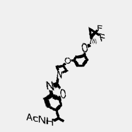 CC(=O)NC(C)c1ccc2nc(N3CC(Oc4cccc(OC[C@@H]5CC5(F)F)c4)C3)oc2c1